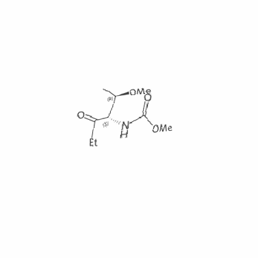 CCC(=O)[C@@H](NC(=O)OC)[C@@H](C)OC